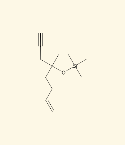 C#CCC(C)(CCC=C)O[Si](C)(C)C